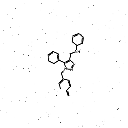 C=C/C=C\C(=C/C)Cn1nnc(CNC2C=CC=CC2)c1C1=CC=CCC1